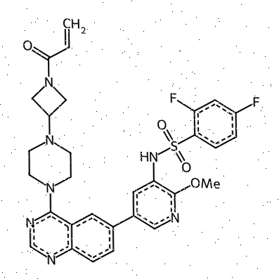 C=CC(=O)N1CC(N2CCN(c3ncnc4ccc(-c5cnc(OC)c(NS(=O)(=O)c6ccc(F)cc6F)c5)cc34)CC2)C1